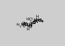 Cc1ccc(Nc2nccc(N(C)c3ccc4c(c3)nc(Nc3ccc(C(C)(C)C)cc3)n4C)n2)cc1S(N)(=O)=O.Cl